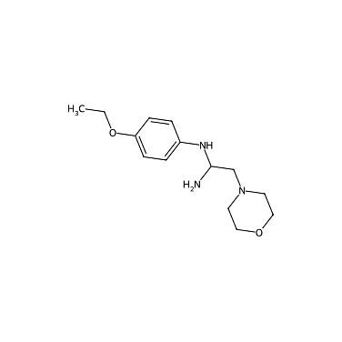 CCOc1ccc(NC(N)CN2CCOCC2)cc1